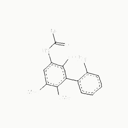 COc1cc(NC(N)=O)c(C(=O)O)c(-c2ccccc2C(F)(F)F)c1OC